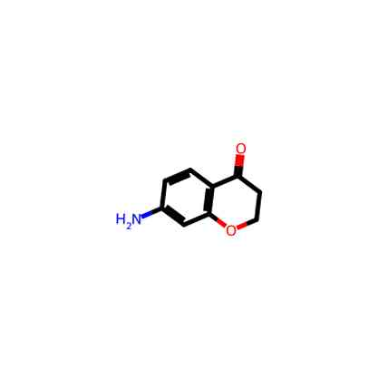 Nc1ccc2c(c1)OCCC2=O